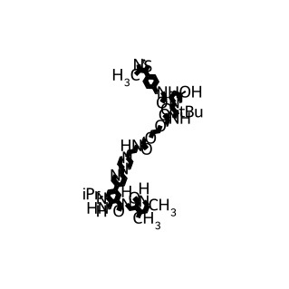 Cc1cc(C)c(CNC(=O)c2cc(-c3ccc(N4CCN(CCNC(=O)COCCOCC(=O)NC(C(=O)N5C[C@H](O)C[C@H]5C(=O)NCc5ccc(-c6scnc6C)cc5)C(C)(C)C)CC4)nc3)cc(NC(C)C)c2C=N)c(=O)[nH]1